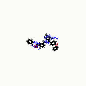 Nc1ccccc1NC(=O)c1cccc(Cn2nc(-c3ccc(Oc4ccccc4)cc3)c3c(N)ncnc32)c1